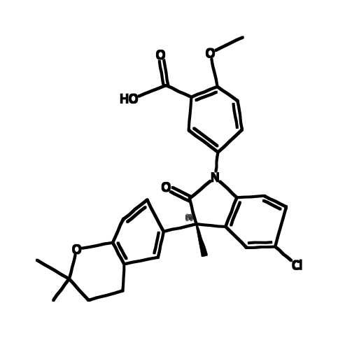 COc1ccc(N2C(=O)[C@@](C)(c3ccc4c(c3)CCC(C)(C)O4)c3cc(Cl)ccc32)cc1C(=O)O